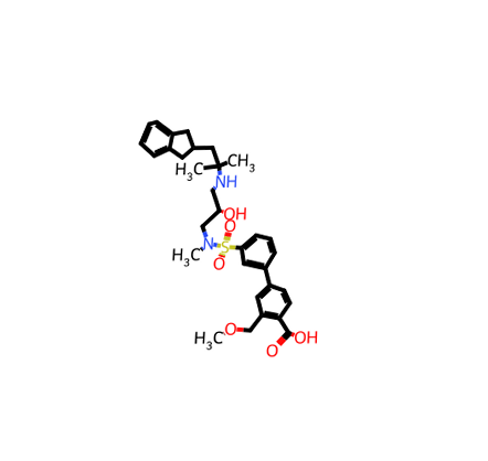 COCc1cc(-c2cccc(S(=O)(=O)N(C)C[C@H](O)CNC(C)(C)CC3Cc4ccccc4C3)c2)ccc1C(=O)O